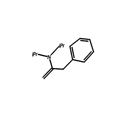 C=C(Cc1ccccc1)N(C(C)C)C(C)C